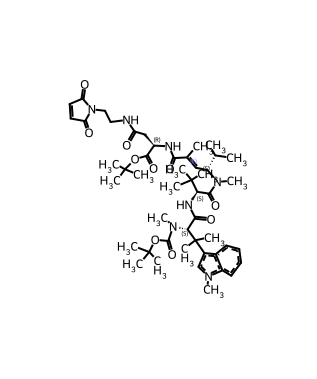 C/C(=C\[C@H](C(C)C)N(C)C(=O)[C@@H](NC(=O)[C@@H](N(C)C(=O)OC(C)(C)C)C(C)(C)c1cn(C)c2ccccc12)C(C)(C)C)C(=O)N[C@H](CC(=O)NCCN1C(=O)C=CC1=O)C(=O)OC(C)(C)C